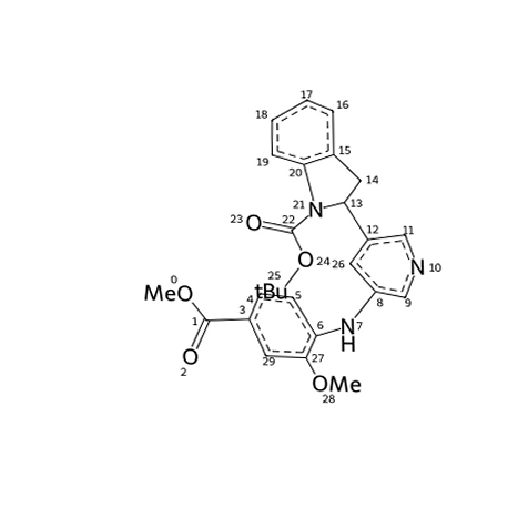 COC(=O)c1ccc(Nc2cncc(C3Cc4ccccc4N3C(=O)OC(C)(C)C)c2)c(OC)c1